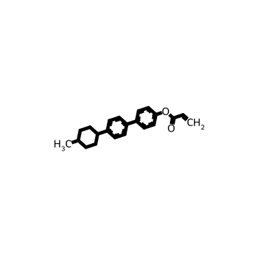 C=CC(=O)Oc1ccc(-c2ccc(C3CCC(C)CC3)cc2)cc1